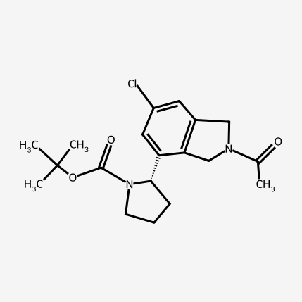 CC(=O)N1Cc2cc(Cl)cc([C@@H]3CCCN3C(=O)OC(C)(C)C)c2C1